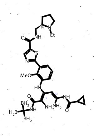 BC(B)(B)NC(=O)/C(N)=C(/C=C(\N)NC(=O)C1CC1)Nc1cccc(-c2ncc(C(=O)NC[C@H]3CCCN3CC)s2)c1OC